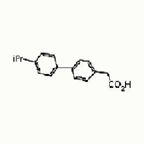 CC(C)c1ccc(-c2ccc(CC(=O)O)cc2)cc1